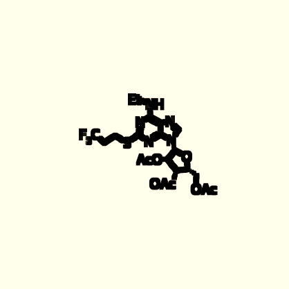 CCNc1nc(SCCC(F)(F)F)nc2c1ncn2[C@@H]1O[C@H](COC(C)=O)[C@@H](OC(C)=O)[C@H]1OC(C)=O